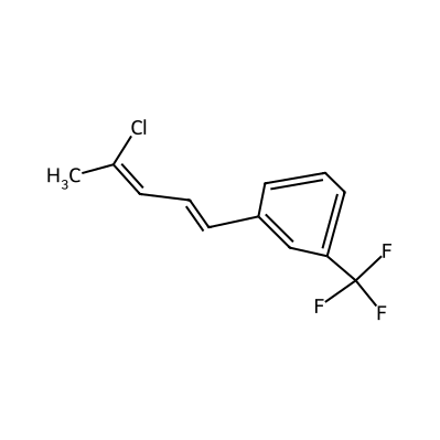 CC(Cl)=CC=Cc1cccc(C(F)(F)F)c1